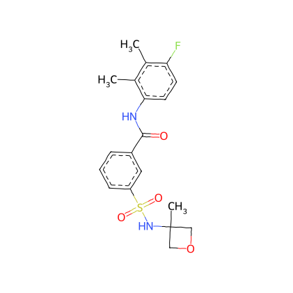 Cc1c(F)ccc(NC(=O)c2cccc(S(=O)(=O)NC3(C)COC3)c2)c1C